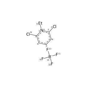 CC[n+]1c(Cl)cccc1Cl.F[B-](F)(F)F